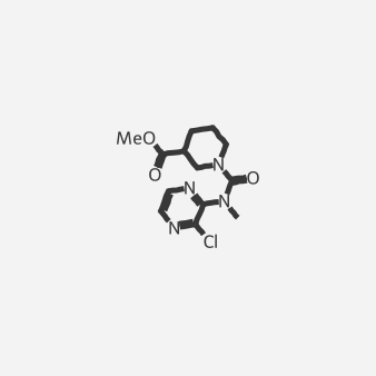 COC(=O)C1CCCN(C(=O)N(C)c2nccnc2Cl)C1